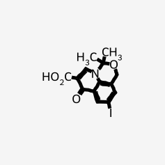 CC1(C)OCc2cc(I)cc3c(=O)c(C(=O)O)cn1c23